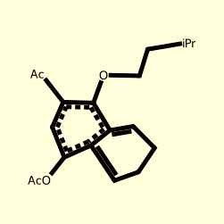 CC(=O)Oc1cc(C(C)=O)c(OCCC(C)C)c2c1=CCCC=2